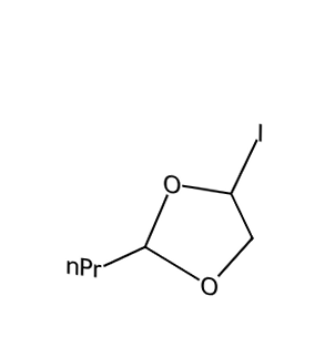 CCCC1OCC(I)O1